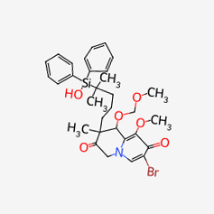 COCOC1c2c(OC)c(=O)c(Br)cn2CC(=O)C1(C)CCCC(C)(C)[Si](O)(c1ccccc1)c1ccccc1